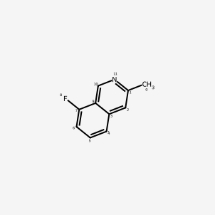 Cc1cc2[c]ccc(F)c2cn1